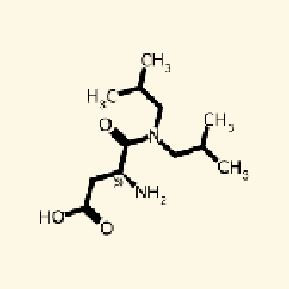 CC(C)CN(CC(C)C)C(=O)[C@@H](N)CC(=O)O